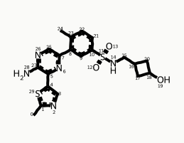 Cc1ncc(-c2nc(-c3cc(S(=O)(=O)NCC4CC(O)C4)ccc3C)cnc2N)s1